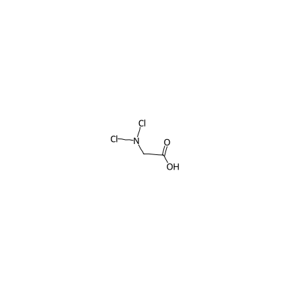 O=C(O)CN(Cl)Cl